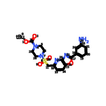 CC(C)(C)OC(=O)N1CCN(S(=O)(=O)Cc2ccc3oc(-c4cccc(N)c4)nc3n2)CC1